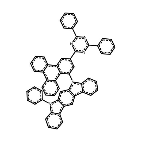 c1ccc(-c2nc(-c3ccccc3)nc(-c3cc(-n4c5ccccc5c5cc6c7ccccc7n(-c7ccccc7)c6cc54)c4c5ccccc5c5ccccc5c4c3)n2)cc1